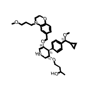 COCCCN1CCOc2ccc(CO[C@H]3CNC[C@@H](OCCC(C)O)[C@@H]3c3ccc([C@@H](OC)C4CC4)cc3)cc21